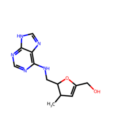 CC1C=C(CO)OC1CNc1ncnc2[nH]cnc12